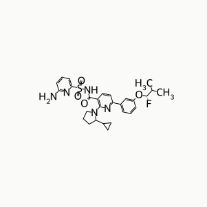 CC(C)[C@H](F)Oc1cccc(-c2ccc(C(=O)NS(=O)(=O)c3cccc(N)n3)c(N3CCCC3C3CC3)n2)c1